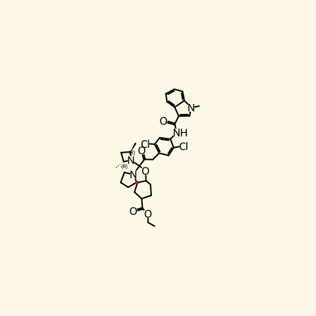 CCOC(=O)C1CCC(OC(C(=O)Cc2cc(Cl)c(NC(=O)c3cn(C)c4ccccc34)cc2Cl)(N2CCCC2)N2[C@H](C)C[C@H]2C)CC1